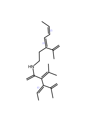 C=C(NCC/C(=C/C=C\C)C(=C)C)C(=C(C)C)/C(=C/C)C(=C)C